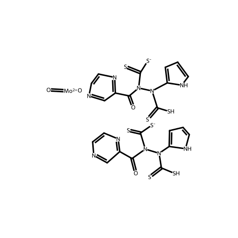 O=C(c1cnccn1)N(C(=S)[S-])N(C(=S)S)c1ccc[nH]1.O=C(c1cnccn1)N(C(=S)[S-])N(C(=S)S)c1ccc[nH]1.[O]=[Mo+2]=[O]